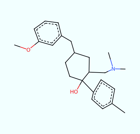 COc1cccc(CC2CCC(O)(c3ccc(C)cc3)C(CN(C)C)C2)c1